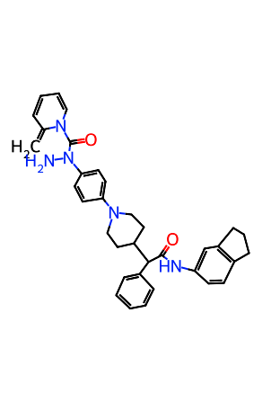 C=C1C=CC=CN1C(=O)N(N)c1ccc(N2CCC(C(C(=O)Nc3ccc4c(c3)CCC4)c3ccccc3)CC2)cc1